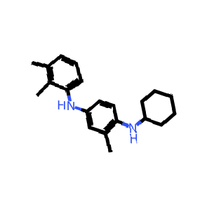 Cc1cc(Nc2cccc(C)c2C)ccc1NC1CCCCC1